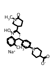 Cc1ccccc1[C@H](C/C(=N/O)C1CCC(=O)N(C)C1)c1ccc(N2CCC(C(=O)[O-])CC2)cc1.[Na+]